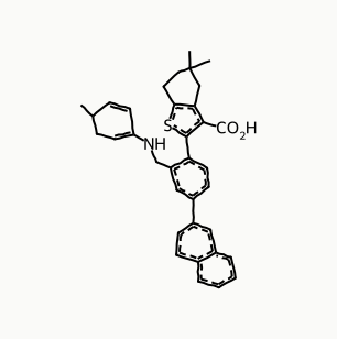 CC1C=CC(NCc2cc(-c3ccc4ccccc4c3)ccc2-c2sc3c(c2C(=O)O)CC(C)(C)CC3)=CC1